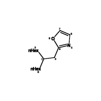 CCCCCCC(CCCCCC)Cc1ncco1